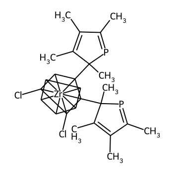 CC1=PC(C)([C]23[CH]4[C]5(Cl)[C]6(Cl)[C]2(C2(C)P=C(C)C(C)=C2C)[Zr]45632789[CH]3[CH]2[CH]7[CH]8[CH]39)C(C)=C1C